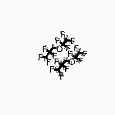 FC(F)C(F)(F)COC(F)(F)C(F)F.FC(F)C(F)(F)COC(F)(F)C(F)F